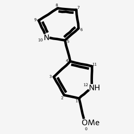 COC1C=CC(c2ccccn2)=CN1